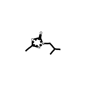 Cc1nn(CC(C)C)c(=O)o1